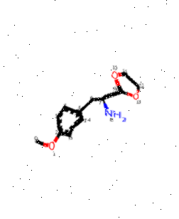 COc1ccc(C[C@H](N)C2OCCO2)cc1